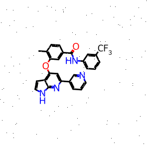 Cc1ccc(C(=O)Nc2cccc(C(F)(F)F)c2)cc1Oc1cc(-c2cccnc2)nc2[nH]ccc12